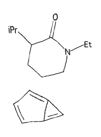 CCN1CCCC(C(C)C)C1=O.c1cc2cc-2c1